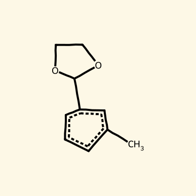 Cc1cccc(C2OCCO2)c1